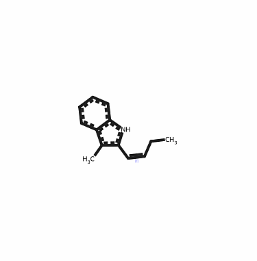 CC/C=C\c1[nH]c2ccccc2c1C